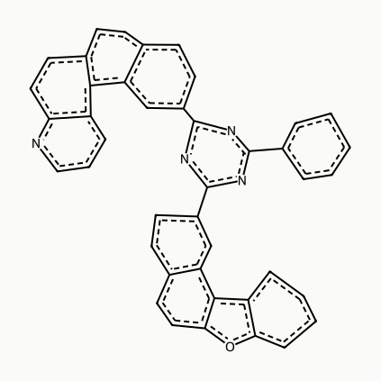 c1ccc(-c2nc(-c3ccc4ccc5ccc6ncccc6c5c4c3)nc(-c3ccc4ccc5oc6ccccc6c5c4c3)n2)cc1